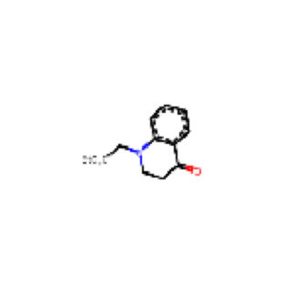 CCOC(=O)CN1CCC(=O)c2ccccc21